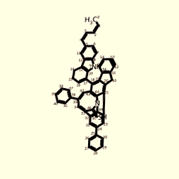 C/C=C\C=C/c1ccc2[nH]c3c(c2c1)CCC=C3c1c2c(c3c4cc(-c5ccccc5)cc5c6cc(-c7ccccc7)cc1c3n(/c6=C\S)c54)Cc1c#cccc1-2